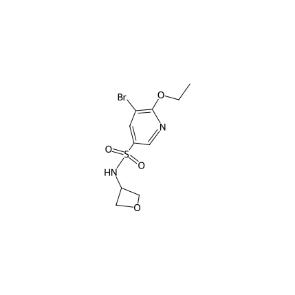 CCOc1ncc(S(=O)(=O)NC2COC2)cc1Br